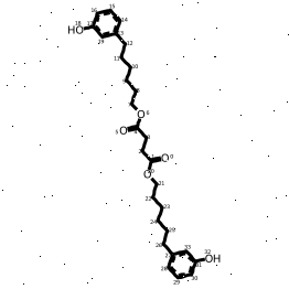 O=C(CCC(=O)OCCCCCCc1cccc(O)c1)OCCCCCCc1cccc(O)c1